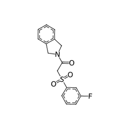 O=C(CS(=O)(=O)c1cccc(F)c1)N1Cc2ccccc2C1